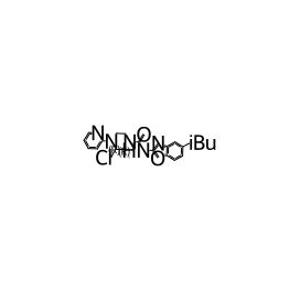 CCC(C)c1ccc2oc(NC(=O)N3CCN(c4ncccc4Cl)[C@H](C)[C@H]3C)nc2c1